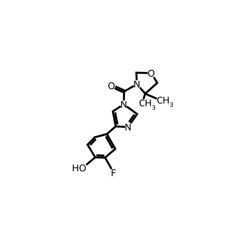 CC1(C)COCN1C(=O)n1cnc(-c2ccc(O)c(F)c2)c1